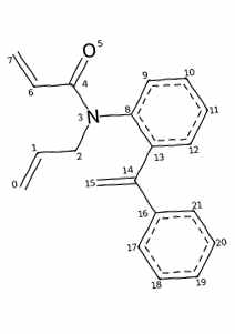 C=CCN(C(=O)C=C)c1ccccc1C(=C)c1ccccc1